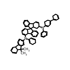 CC1(C)c2cc(N(C3=CCCC=C3)C3=CC=CC4C3c3ccccc3C43c4ccccc4C4C=CC(N(C5=CC=C(C6=CC=CCC6)CC5)c5ccccc5)CC43)ccc2C2C=CC=CC21